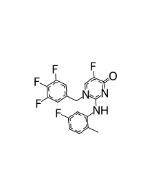 Cc1ccc(F)cc1Nc1nc(=O)c(F)cn1Cc1cc(F)c(F)c(F)c1